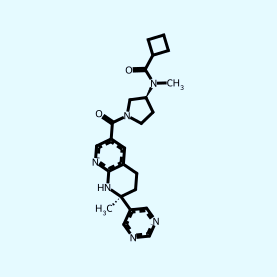 CN(C(=O)C1CCC1)[C@H]1CCN(C(=O)c2cnc3c(c2)CC[C@@](C)(c2cncnc2)N3)C1